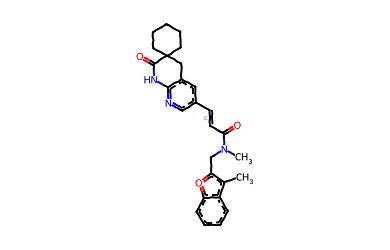 Cc1c(CN(C)C(=O)/C=C/c2cnc3c(c2)CC2(CCCCC2)C(=O)N3)oc2ccccc12